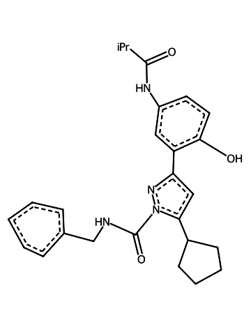 CC(C)C(=O)Nc1ccc(O)c(-c2cc(C3CCCC3)n(C(=O)NCc3ccccc3)n2)c1